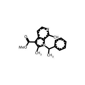 COC(=O)c1c(C)n(C(C)c2ccccc2)c2c(C)nccc12